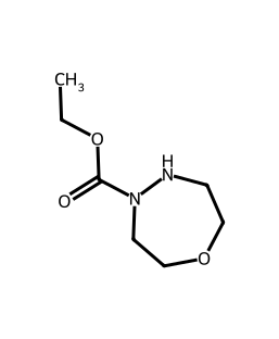 CCOC(=O)N1CCOCCN1